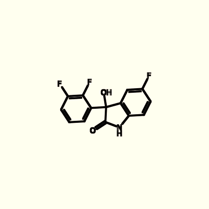 O=C1Nc2ccc(F)cc2C1(O)c1cccc(F)c1F